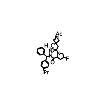 CC(=O)N1CC(C)(CC(=O)N2CC(F)CC2C(=O)NC(c2ccccc2)c2ccc(C(C)C)cc2)C1